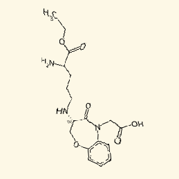 CCOC(=O)C(N)CCCN[C@H]1COc2ccccc2N(CC(=O)O)C1=O